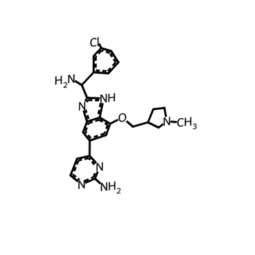 CN1CCC(COc2cc(-c3ccnc(N)n3)cc3nc(C(N)c4cccc(Cl)c4)[nH]c23)C1